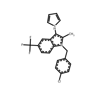 Cc1c([SH]2C=CC=C2)c2cc(C(F)(F)F)ccc2n1Cc1ccc(Cl)cc1